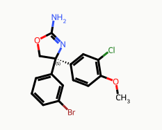 COc1ccc([C@]2(c3cccc(Br)c3)COC(N)=N2)cc1Cl